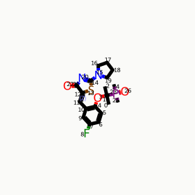 CC(C)(Oc1ccc(F)cc1/C=C1\SC(N2CCCC2)=NC1=O)P(C)(C)=O